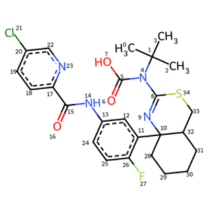 CC(C)(C)N(C(=O)O)C1=NC2(c3cc(NC(=O)c4ccc(Cl)cn4)ccc3F)CCCCC2CS1